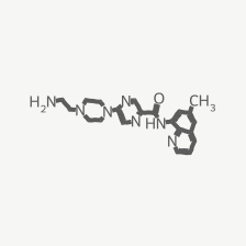 Cc1cc(NC(=O)c2cnc(N3CCN(CCN)CC3)cn2)c2ncccc2c1